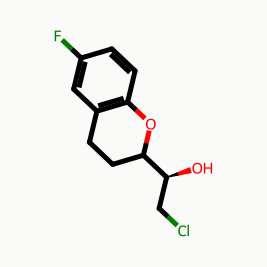 O[C@@H](CCl)C1CCc2cc(F)ccc2O1